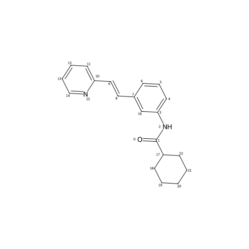 O=C(Nc1cccc(C=Cc2ccccn2)c1)C1CCCCC1